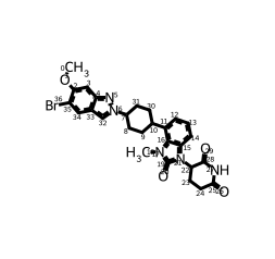 COc1cc2nn(C3CCC(c4cccc5c4n(C)c(=O)n5C4CCC(=O)NC4=O)CC3)cc2cc1Br